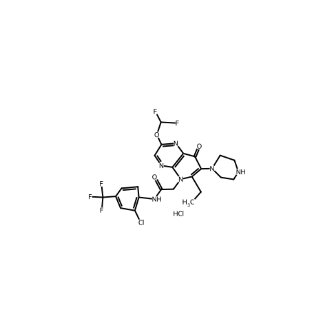 CCc1c(N2CCNCC2)c(=O)c2nc(OC(F)F)cnc2n1CC(=O)Nc1ccc(C(F)(F)F)cc1Cl.Cl